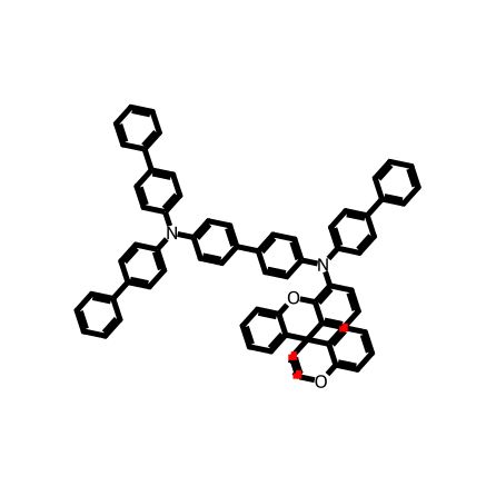 c1ccc(-c2ccc(N(c3ccc(-c4ccccc4)cc3)c3ccc(-c4ccc(N(c5ccc(-c6ccccc6)cc5)c5cccc6c5Oc5ccccc5C65c6ccccc6Oc6ccccc65)cc4)cc3)cc2)cc1